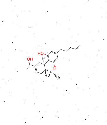 C#C[C@@]1(C)Oc2cc(CCCCC)cc(O)c2[C@@H]2CC(CO)=CC[C@H]21